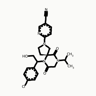 CC(C)N1CC(=O)N(C(CO)c2ccc(Cl)cc2)[C@@]2(CCN(c3ccc(C#N)cn3)C2)C1=O